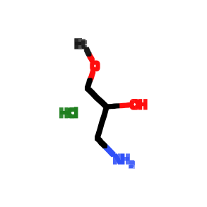 CCOCC(O)CN.Cl